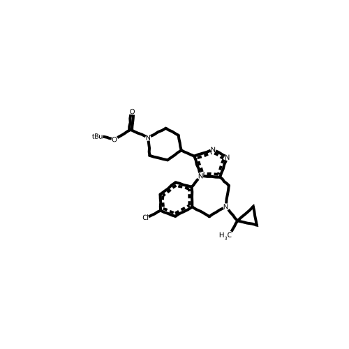 CC(C)(C)OC(=O)N1CCC(c2nnc3n2-c2ccc(Cl)cc2CN(C2(C)CC2)C3)CC1